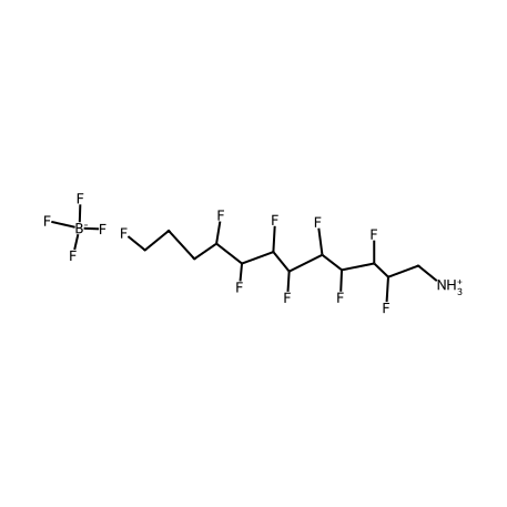 F[B-](F)(F)F.[NH3+]CC(F)C(F)C(F)C(F)C(F)C(F)C(F)C(F)CCCF